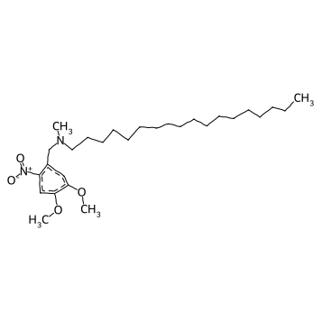 CCCCCCCCCCCCCCCCCCN(C)Cc1cc(OC)c(OC)cc1[N+](=O)[O-]